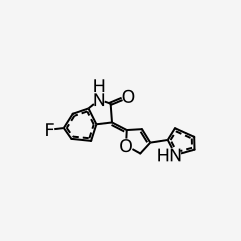 O=C1Nc2cc(F)ccc2C1=C1C=C(c2ccc[nH]2)CO1